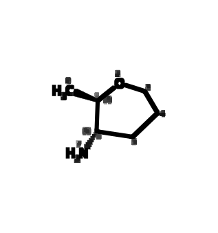 C[C@H]1OCCC[C@@H]1N